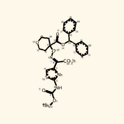 CC(C)(C)OC(=O)Nc1nc(/C(=N/OC2(C(=O)OC(c3ccccc3)c3ccccc3)CCOCC2)C(=O)O)cs1